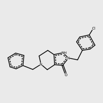 O=c1c2c([nH]n1Cc1ccc(Cl)cc1)CCN(Cc1ccccc1)C2